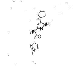 Cn1ccc(CC(=O)Nc2cc([C@H]3C[CH]CC3)[nH]n2)n1